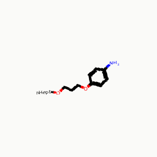 CCCCCCCOCCCOc1ccc(N)cc1